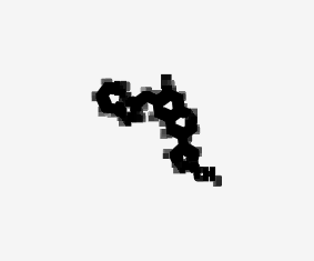 Cn1cc(-c2cnc3cc(F)c(Cc4nnc5cccnn45)cc3c2)cn1